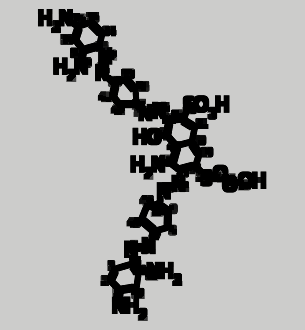 Nc1ccc(N=Nc2ccc(N=Nc3c(SOOO)cc4cc(S(=O)(=O)O)c(N=Nc5ccc(N=Nc6ccc(N)cc6N)cc5)c(O)c4c3N)cc2)c(N)c1